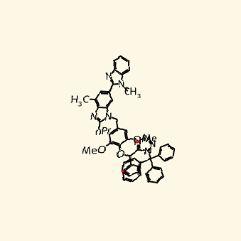 CCCc1nc2c(C)cc(-c3nc4ccccc4n3C)cc2n1Cc1cc(OC)c(OC(c2ccccc2)c2nnnn2C(c2ccccc2)(c2ccccc2)c2ccccc2)c(OC)c1